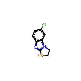 Clc1ccc2nc3n(c2c1)CC[SH]3